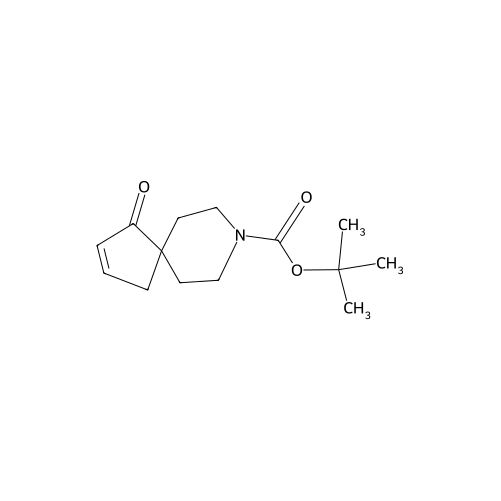 CC(C)(C)OC(=O)N1CCC2(CC=CC2=O)CC1